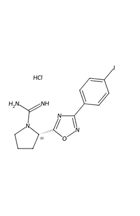 Cl.N=C(N)N1CCC[C@H]1c1nc(-c2ccc(I)cc2)no1